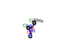 COc1ccc(CNC(=O)c2cc(Cl)ccc2NC(=O)CN2CCCCC2)cc1Cl